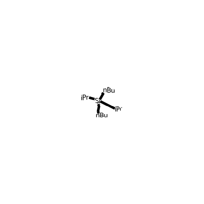 CCCC[Si](CCCC)(C(C)C)C(C)C